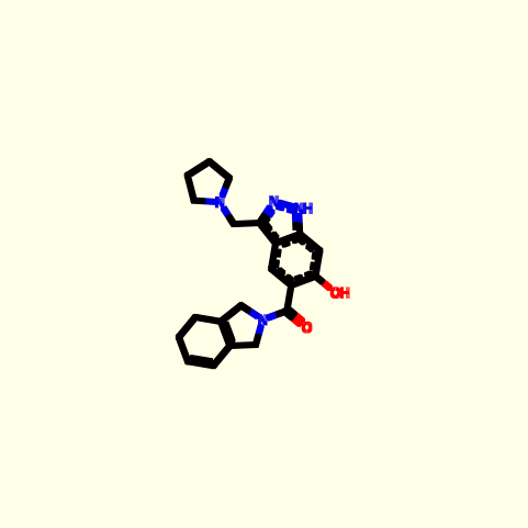 O=C(c1cc2c(CN3CCCC3)n[nH]c2cc1O)N1CC2=C(CCC=C2)C1